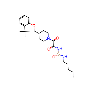 CCCCCN[S+]([O-])NC(=O)C(=O)N1CCC(COc2ccccc2C(C)(C)C)CC1